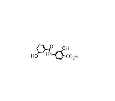 O=C(Nc1ccc(C(=O)O)c(O)c1)C1=CCCC(O)C1